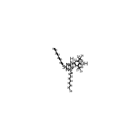 C#CC#CC#CC#CSc1nc(Nc2cc(C(C)(C)C)c(O)c(C(C)(C)C)c2)nc(SCCCCCCCC)n1